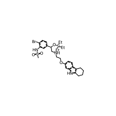 CC[Si](CC)(CC)OC(CNCCOc1ccc2c3c([nH]c2c1)CCCC3)c1ccc(Br)c(NS(C)(=O)=O)c1